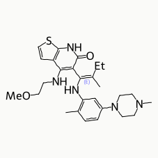 CC/C(C)=C(/Nc1cc(N2CCN(C)CC2)ccc1C)c1c(NCCOC)c2ccsc2[nH]c1=O